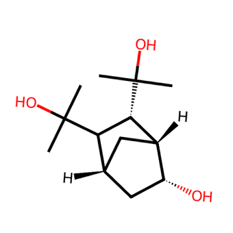 CC(C)(O)C1[C@@H]2C[C@@H]([C@H](O)C2)[C@H]1C(C)(C)O